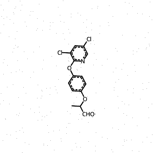 CC([C]=O)Oc1ccc(Oc2ncc(Cl)cc2Cl)cc1